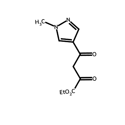 CCOC(=O)C(=O)CC(=O)c1cnn(C)c1